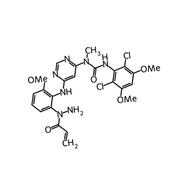 C=CC(=O)N(N)c1cccc(OC)c1Nc1cc(N(C)C(=O)Nc2c(Cl)c(OC)cc(OC)c2Cl)ncn1